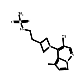 Cc1ccn2ncc(C#N)c(N3CC(CCNS(N)(=O)=O)C3)c12